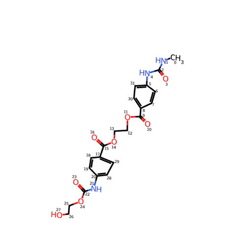 CNC(=O)Nc1ccc(C(=O)OCCOC(=O)c2ccc(NC(=O)OCCO)cc2)cc1